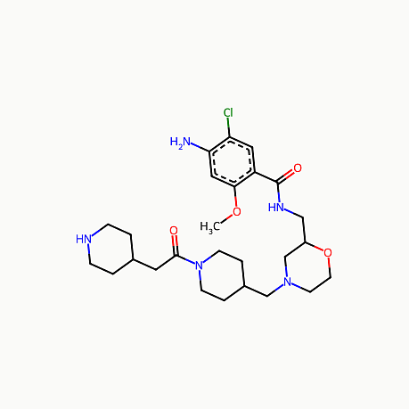 COc1cc(N)c(Cl)cc1C(=O)NCC1CN(CC2CCN(C(=O)CC3CCNCC3)CC2)CCO1